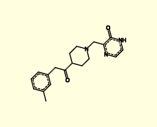 Cc1cccc(CC(=O)C2CCN(Cc3ncc[nH]c3=O)CC2)c1